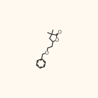 CC1(C)CC(CCOCc2ccccc2)OC1=O